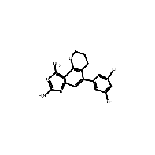 Nc1nc(N)c2c3c(c(-c4cc(O)cc(Cl)c4)cc2n1)CCCO3